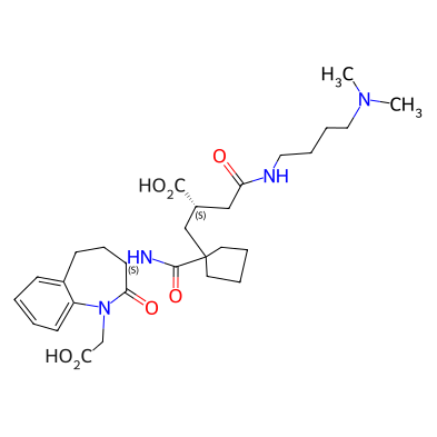 CN(C)CCCCNC(=O)C[C@H](CC1(C(=O)N[C@H]2CCc3ccccc3N(CC(=O)O)C2=O)CCCC1)C(=O)O